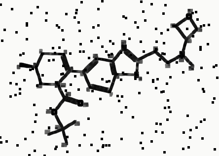 C[C@H]1CC=C(c2ccc3sc(CCN(C)C4COC4)nc3c2)N(C(=O)OC(C)(C)C)C1